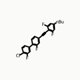 CCCCc1cc(F)c(C#Cc2ccc(-c3ccc(Cl)c(F)c3)c(F)c2)c(F)c1